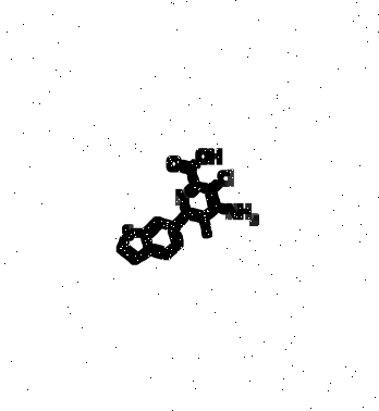 Cc1c(-c2ccc3ccsc3c2)nc(C(=O)O)c(Cl)c1N